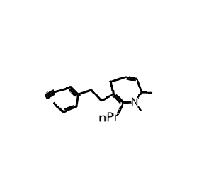 C#C/C=C(\C=C/C)CCC1=C(CCC)N(C)C(C)C=CC1